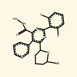 CC(C)C1CCCC(c2nc(-c3c(F)cccc3F)nc(C(=O)NO)c2-c2cccnc2)O1